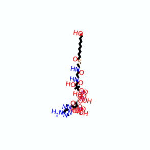 CC(C)(COP(=O)(O)OP(=O)(O)OC[C@H]1O[C@H](n2cnc3c(N)ncnc32)[C@H](O)[C@@H]1OP(=O)(O)O)[C@@H](O)C(=O)NCCC(=O)NCCSC(=O)CCCCCCCCCO